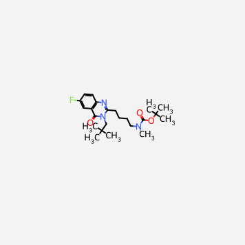 CN(CCCCc1nc2ccc(F)cc2c(=O)n1CC(C)(C)C)C(=O)OC(C)(C)C